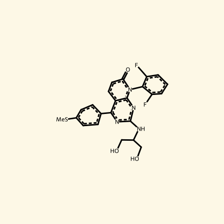 CSc1ccc(-c2nc(NC(CO)CO)nc3c2ccc(=O)n3-c2c(F)cccc2F)cc1